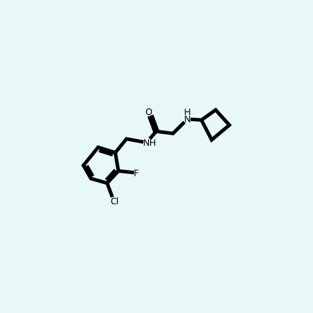 O=C(CNC1CCC1)NCc1cccc(Cl)c1F